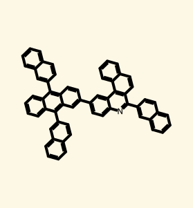 c1ccc2cc(-c3c4ccccc4c(-c4ccc5ccccc5c4)c4cc(-c5ccc6nc(-c7ccc8ccccc8c7)c7ccc8ccccc8c7c6c5)ccc34)ccc2c1